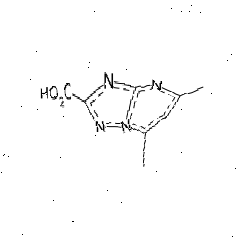 Cc1cc(C)n2nc(C(=O)O)nc2n1